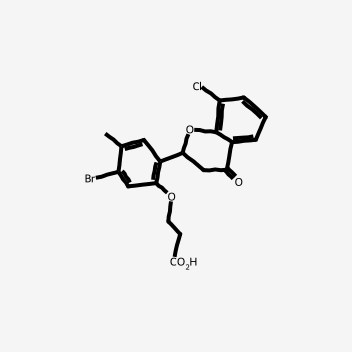 Cc1cc(C2CC(=O)c3cccc(Cl)c3O2)c(OCCC(=O)O)cc1Br